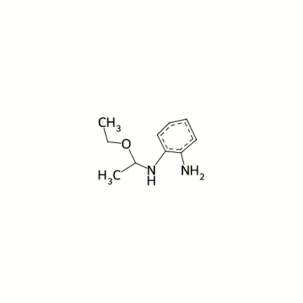 CCOC(C)Nc1ccccc1N